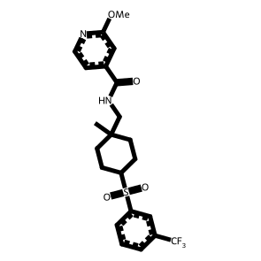 COc1cc(C(=O)NCC2(C)CCC(S(=O)(=O)c3cccc(C(F)(F)F)c3)CC2)ccn1